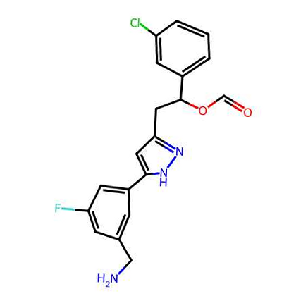 NCc1cc(F)cc(-c2cc(CC(OC=O)c3cccc(Cl)c3)n[nH]2)c1